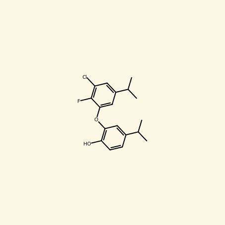 CC(C)c1ccc(O)c(Oc2cc(C(C)C)cc(Cl)c2F)c1